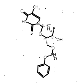 Cc1cn([C@H](C)O[C@@H](CO[PH](=O)Oc2ccccc2)[C@@H](O)F)c(=S)[nH]c1=O